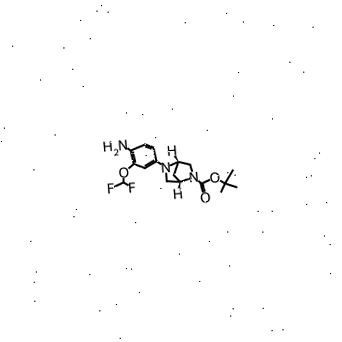 CC(C)(C)OC(=O)N1C[C@@H]2C[C@H]1CN2c1ccc(N)c(OC(F)F)c1